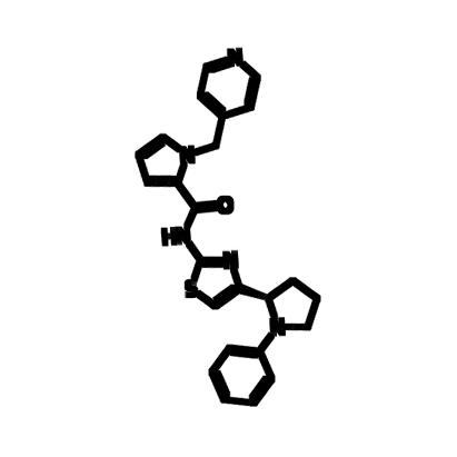 O=C(Nc1nc([C@H]2CCCN2c2ccccc2)cs1)c1cccn1Cc1ccncc1